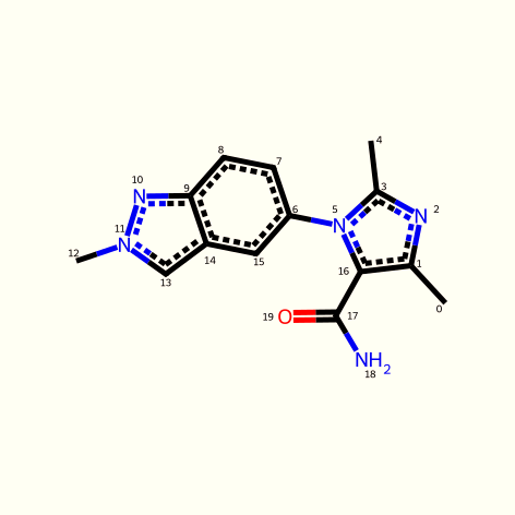 Cc1nc(C)n(-c2ccc3nn(C)cc3c2)c1C(N)=O